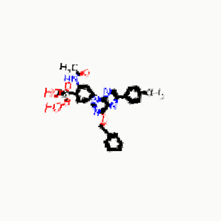 CC(=O)Nc1ccccc1[As](=O)(O)OO.Cc1ccc(-c2cnc3ncnc(OCc4ccccc4)c3n2)cc1